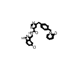 O=C(NCc1n[nH]c2ccc(Cl)cc12)c1cc(Cc2ccc(Cn3ccccc3=O)cc2)ncn1